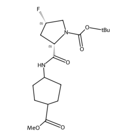 COC(=O)C1CCC(NC(=O)[C@@H]2C[C@H](F)CN2C(=O)OC(C)(C)C)CC1